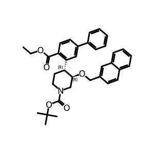 CCOC(=O)c1ccc(-c2ccccc2)cc1[C@H]1CCN(C(=O)OC(C)(C)C)C[C@@H]1OCc1ccc2ccccc2c1